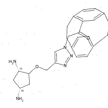 N[C@H]1CC(OCc2cn(CC(=O)c3cc4ccc3CCc3ccc(cc3)CC4)nn2)[C@@H](N)C1